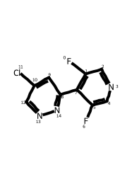 Fc1cncc(F)c1-c1cc(Cl)cnn1